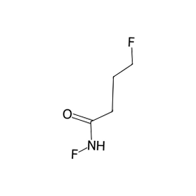 O=C(CCCF)NF